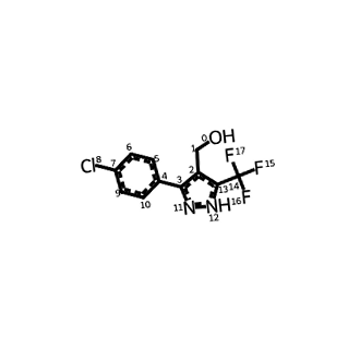 OCc1c(-c2ccc(Cl)cc2)n[nH]c1C(F)(F)F